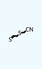 N#CCSCC=S